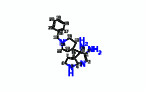 NC1=CN=C2NCC=C2C1(N)C1CCN(Cc2ccccc2)CC1